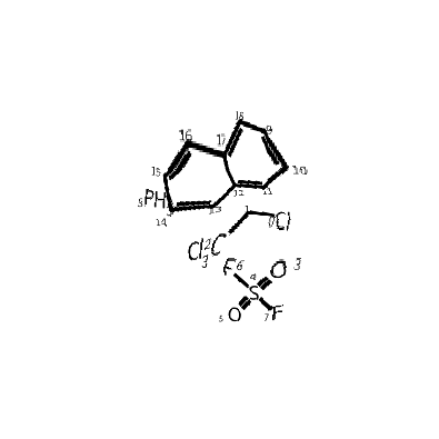 ClCC(Cl)(Cl)Cl.O=S(=O)(F)F.P.c1ccc2ccccc2c1